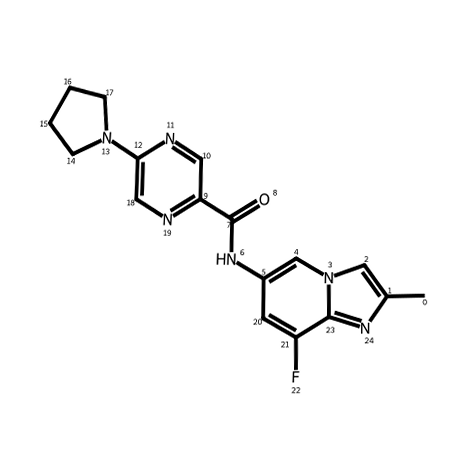 Cc1cn2cc(NC(=O)c3cnc(N4CCCC4)cn3)cc(F)c2n1